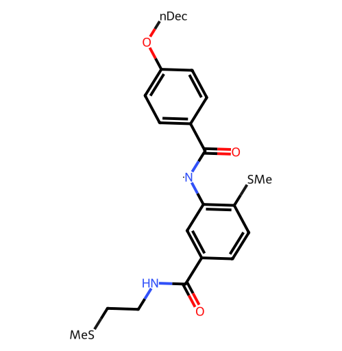 CCCCCCCCCCOc1ccc(C(=O)[N]c2cc(C(=O)NCCSC)ccc2SC)cc1